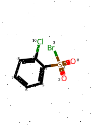 O=S(=O)(Br)c1ccccc1Cl